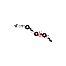 C=CCCOc1ccc(C(=O)Oc2ccc(OCCCC3CCC(CCCCC)CC3)cc2)cc1